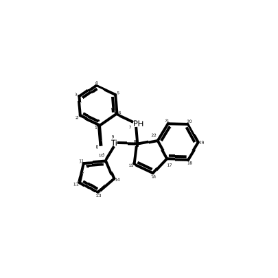 Cc1ccccc1P[C]1([Ti][C]2=CC=CC2)C=Cc2ccccc21